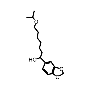 CC(C)OCCCCCCC(O)c1ccc2c(c1)OCO2